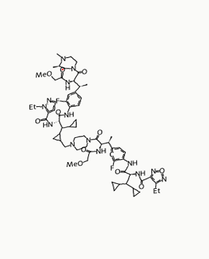 CCc1nonc1C(=O)N[C@H](C(=O)Nc1ccc([C@H](C)[C@@H](NC(=O)COC)C(=O)N2CCN(CC3CC3C(C3CC3)[C@H](NC(=O)c3ccnn3CC)C(=O)Nc3ccc([C@H](C)[C@@H](NC(=O)COC)C(=O)N4CCN(C)[C@H](C)C4)cc3F)CC2)cc1F)C(C1CC1)C1CC1